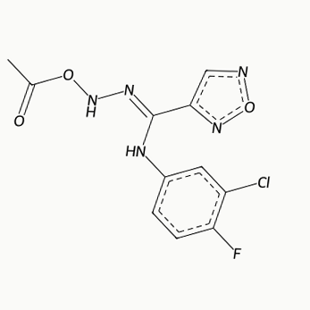 CC(=O)ON/N=C(\Nc1ccc(F)c(Cl)c1)c1cnon1